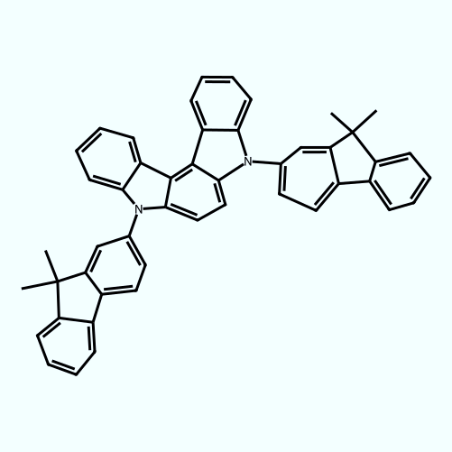 CC1(C)c2ccccc2-c2ccc(-n3c4ccccc4c4c5c6ccccc6n(-c6ccc7c(c6)C(C)(C)c6ccccc6-7)c5ccc43)cc21